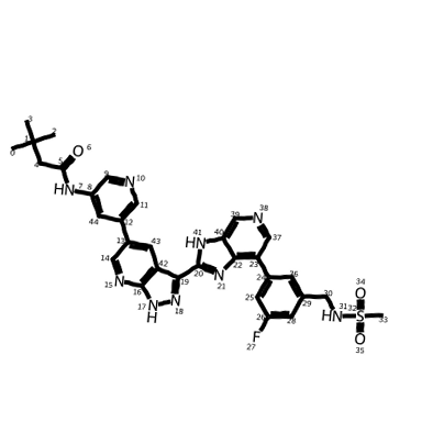 CC(C)(C)CC(=O)Nc1cncc(-c2cnc3[nH]nc(-c4nc5c(-c6cc(F)cc(CNS(C)(=O)=O)c6)cncc5[nH]4)c3c2)c1